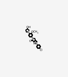 COc1cc(N2Cc3cn(-c4ccc(Cl)cc4)nc3C2=O)ccc1N1CCC(O)C1